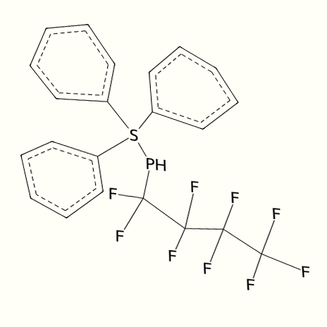 FC(F)(F)C(F)(F)C(F)(F)C(F)(F)PS(c1ccccc1)(c1ccccc1)c1ccccc1